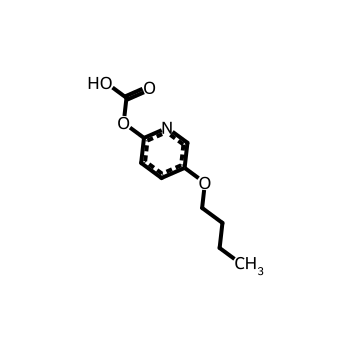 CCCCOc1ccc(OC(=O)O)nc1